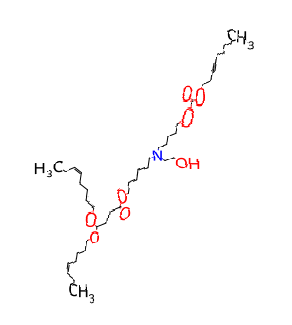 CC/C=C\CCCCOC(CCC(=O)OCCCCCCN(CCO)CCCCCOC(=O)OCCC#CCCCCC)OCCCC/C=C\CC